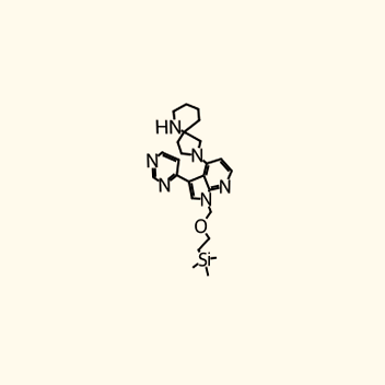 C[Si](C)(C)CCOCn1cc(-c2ccncn2)c2c(N3CCC4(CCCCN4)C3)ccnc21